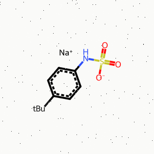 CC(C)(C)c1ccc(NS(=O)(=O)[O-])cc1.[Na+]